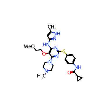 COCCOc1c(Nc2cc(C)[nH]n2)nc(Sc2ccc(NC(=O)C3CC3)cc2)nc1N1CCN(C)CC1